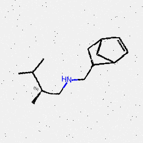 CC(C)[C@H](C)CNCC1CC2C=CC1C2